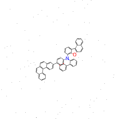 c1ccc(-c2ccccc2N(c2ccc(-c3ccc4c(ccc5ccc6ccccc6c54)c3)cc2)c2cccc3c2oc2ccc4ccccc4c23)cc1